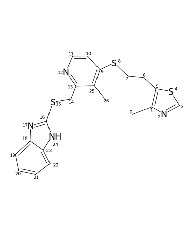 Cc1ncsc1CCSc1ccnc(CSc2nc3ccccc3[nH]2)c1C